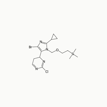 C[Si](C)(C)CCOCn1c(C2CC2)nc(Br)c1C1CC=NC(Cl)=N1